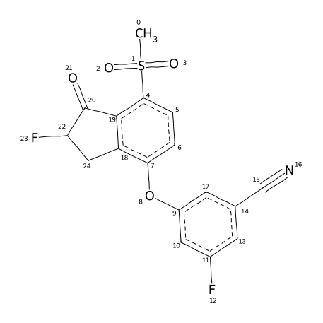 CS(=O)(=O)c1ccc(Oc2cc(F)cc(C#N)c2)c2c1C(=O)C(F)C2